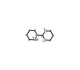 C1CCN(C2OCCCO2)NC1